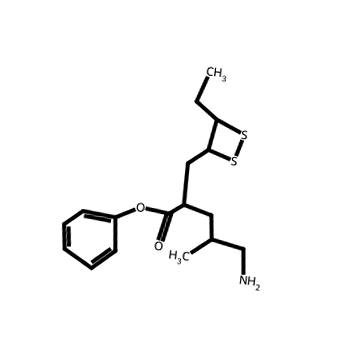 CCC1SSC1CC(CC(C)CN)C(=O)Oc1ccccc1